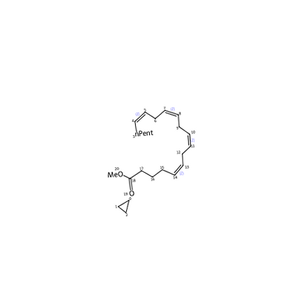 C1CC1.CCCCC/C=C\C/C=C\C/C=C\C/C=C\CCCC(=O)OC